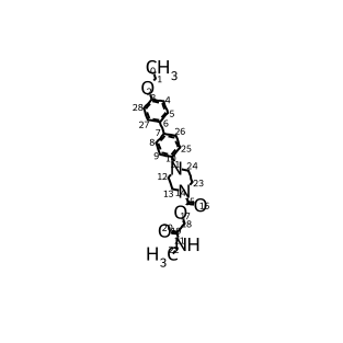 CCOc1ccc(-c2ccc(N3CCN(C(=O)OCC(=O)NC)CC3)cc2)cc1